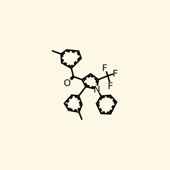 Cc1cccc(C(=O)c2cc(C(F)(F)F)n(-c3ccccc3)c2-c2cccc(C)c2)c1